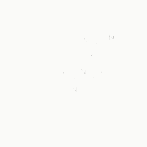 Cc1ccc(N2CCC(=O)N(C(C)OC(=O)C(C)(C)C)C2=O)cc1